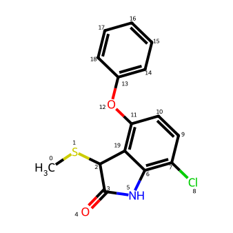 CSC1C(=O)Nc2c(Cl)ccc(Oc3ccccc3)c21